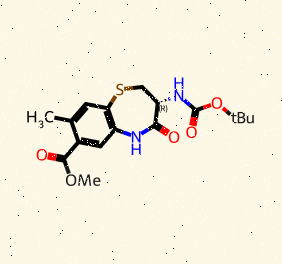 COC(=O)c1cc2c(cc1C)SC[C@H](NC(=O)OC(C)(C)C)C(=O)N2